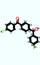 O=C(c1ccc(F)cc1)c1ccc(C(=O)c2ccc(F)cc2)cc1